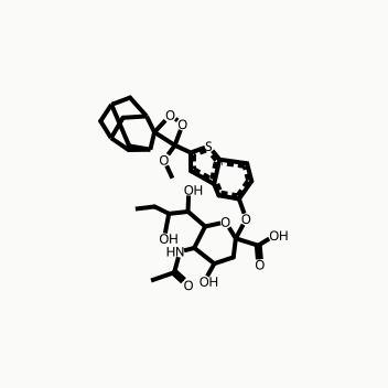 CCC(O)C(O)C1OC(Oc2ccc3sc(C4(OC)OOC45C4CC6CC(C4)CC5C6)cc3c2)(C(=O)O)CC(O)C1NC(C)=O